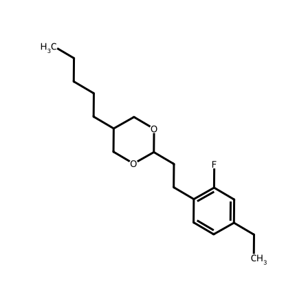 CCCCCC1COC(CCc2ccc(CC)cc2F)OC1